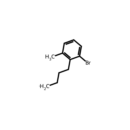 [CH2]CCCc1c(C)cccc1Br